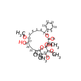 COC1CCCCC(c2ccccc2)OC(=O)C(C)C2(O)OC(C(C)CCC1O)C(C)C(=O)C2OC